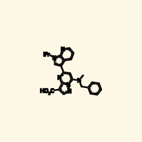 CC(C)n1cc(-c2cc(N(C)Cc3ccccc3)n3ncc(C(=O)O)c3n2)c2cccnc21